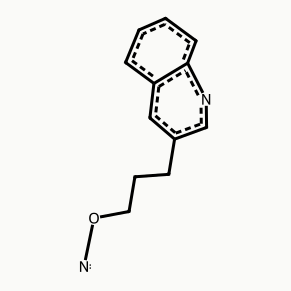 [N]OCCCc1cnc2ccccc2c1